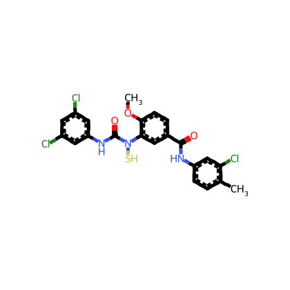 COc1ccc(C(=O)Nc2ccc(C)c(Cl)c2)cc1N(S)C(=O)Nc1cc(Cl)cc(Cl)c1